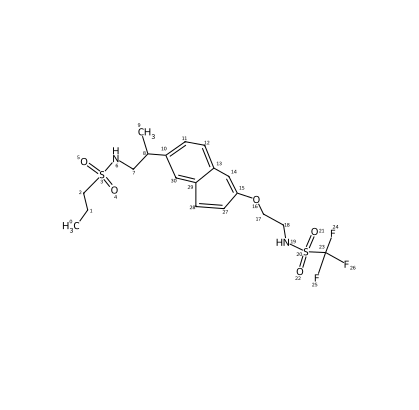 CCCS(=O)(=O)NCC(C)c1ccc2cc(OCCNS(=O)(=O)C(F)(F)F)ccc2c1